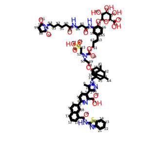 Cc1c(-c2ccc(-c3ccc4cccc(C(=O)Nc5nc6ccccc6s5)c4c3)nc2C(=O)O)cnn1CC12CC3(C)CC(C)(C1)CC(OCCN(CCS(=O)(=O)O)C(=O)OC/C=C/c1ccc(O[C@@H]4O[C@H](C(=O)O)[C@@H](O)[C@H](O)[C@H]4O)c(NC(=O)CCNC(=O)CCCCCN4C(=O)C=CC4=O)c1)(C3)C2